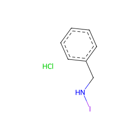 Cl.INCc1ccccc1